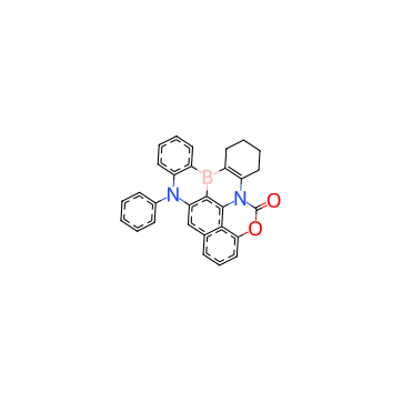 O=C1Oc2cccc3cc4c5c(c23)N1C1=C(CCCC1)B5c1ccccc1N4c1ccccc1